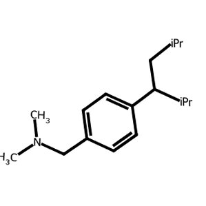 CC(C)CC(c1ccc(CN(C)C)cc1)C(C)C